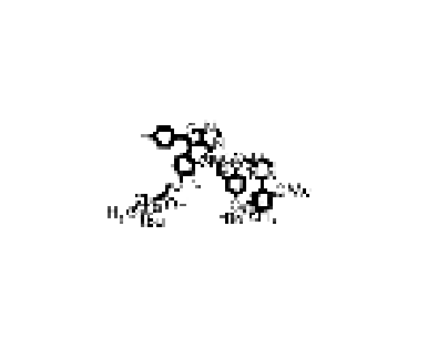 COc1ccccc1-c1nccc(COc2ccc(O[Si](C)(C)C(C)(C)C)cc2CC(Oc2ncnc3sc(-c4ccc(F)cc4)c(-c4ccc(OCC(O)CO[Si](C)(C)C(C)(C)C)c(Cl)c4C)c23)C(=O)O)n1